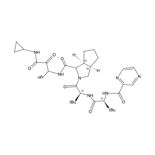 CCCC(NC(=O)C1[C@H]2CCC[C@H]2CN1C(=O)[C@@H](NC(=O)[C@@H](NC(=O)c1cnccn1)C(C)(C)C)C(C)(C)C)C(=O)C(=O)NC1CC1